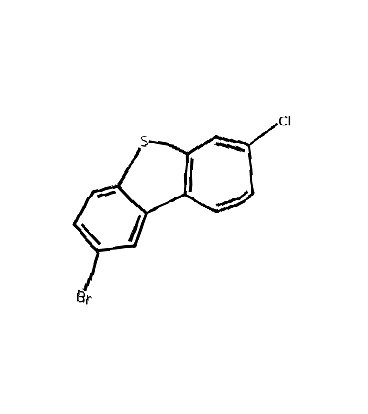 Clc1ccc2c(c1)sc1ccc(Br)cc12